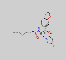 CCCCCCCC(=O)N[C@H](CN1CCC(F)C1)[C@H](O)c1ccc2c(c1)OCCO2